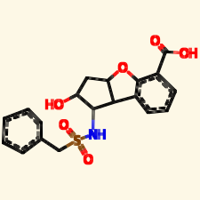 O=C(O)c1cccc2c1OC1CC(O)C(NS(=O)(=O)Cc3ccccc3)C21